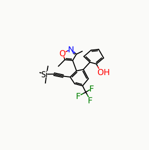 Cc1noc(C)c1-c1c(C#C[Si](C)(C)C)cc(C(F)(F)F)cc1-c1ccccc1O